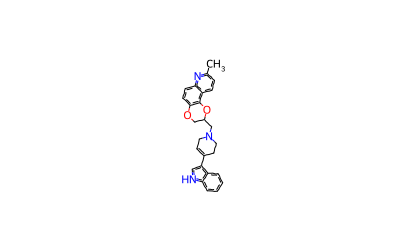 Cc1ccc2c3c(ccc2n1)OCC(CN1CC=C(c2c[nH]c4ccccc24)CC1)O3